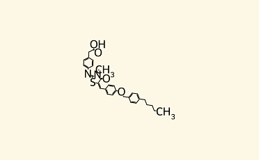 CCCCCc1ccc(COc2ccc(C=C3SC(=Nc4ccc(CC(=O)O)cc4)N(C)C3=O)cc2)cc1